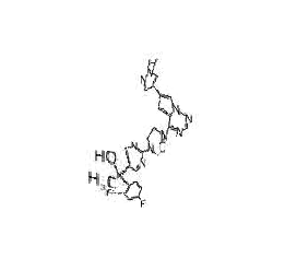 C[C@](O)(c1cnc(N2CCN(c3ncnn4cc(-c5cn[nH]c5)cc34)CC2)nc1)c1ccc(F)cc1F